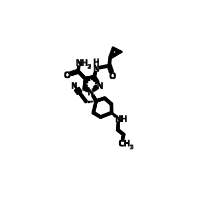 CCCN[C@H]1CC[C@@](CC#N)(n2cc(C(N)=O)c(NC(=O)C3CC3)n2)CC1